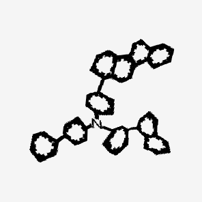 c1ccc(-c2ccc(N(c3ccc(-c4cccc5c4ccc4c6ccccc6ccc54)cc3)c3cccc(-c4cccc5ccccc45)c3)cc2)cc1